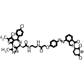 Cc1sc2c(c1C)C(c1ccc(Cl)cc1)=N[C@@H](CC(=O)NCCNC(=O)COc1ccc(/N=N/c3cccc4c3CN(C3CCC(=O)NC3=O)C4=O)cc1)c1nnc(C)n1-2